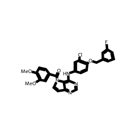 COc1ccc(C(=O)n2ccc3ncnc(Nc4ccc(OCc5cccc(F)c5)c(Cl)c4)c32)cc1OC